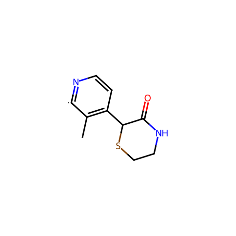 Cc1[c]nccc1C1SCCNC1=O